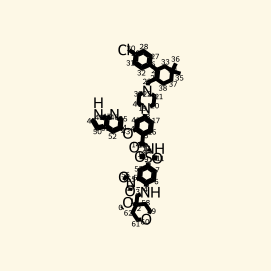 COC1(CNc2ccc(S(=O)(=O)NC(=O)c3ccc(N4CCN(CC5=C(c6ccc(Cl)cc6)CC(C)(C)CC5)CC4)cc3Oc3cnc4[nH]ccc4c3)cc2[N+](=O)[O-])CCOCC1